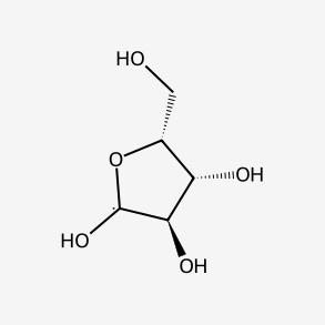 OC[C@H]1O[C](O)[C@H](O)[C@H]1O